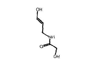 O=C(CO)NCC=CO